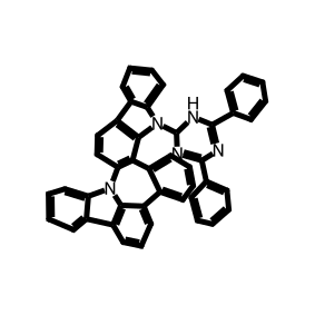 c1ccc(C2=NC(n3c4ccccc4c4ccc5c(c43)-c3ccccc3-c3cccc4c6ccccc6n-5c34)NC(c3ccccc3)=N2)cc1